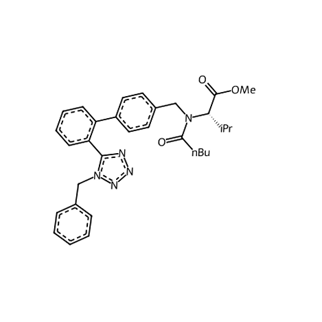 CCCCC(=O)N(Cc1ccc(-c2ccccc2-c2nnnn2Cc2ccccc2)cc1)[C@H](C(=O)OC)C(C)C